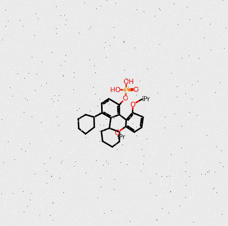 CC(C)Oc1cccc(OC(C)C)c1-c1c(OP(=O)(O)O)ccc(C2CCCCC2)c1C1CCCCC1